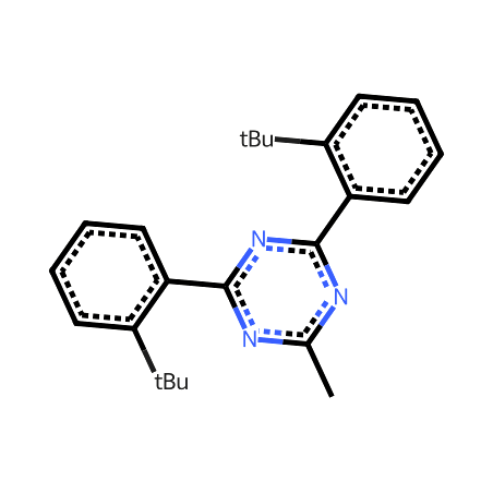 Cc1nc(-c2ccccc2C(C)(C)C)nc(-c2ccccc2C(C)(C)C)n1